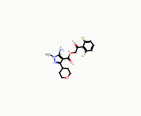 Cn1nc(C2CCOCC2)c(C(=O)OCC(=O)c2c(F)cccc2F)c1N